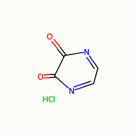 Cl.O=C1N=CC=NC1=O